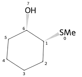 CS[C@@H]1CCCC[C@@H]1O